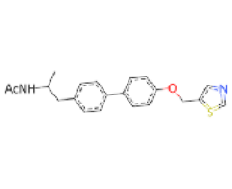 CC(=O)NC(C)Cc1ccc(-c2ccc(OCc3cncs3)cc2)cc1